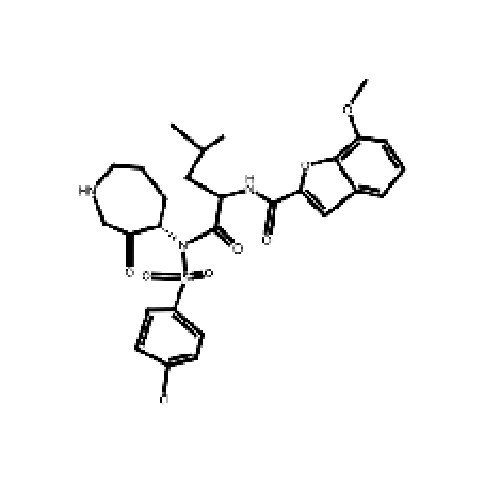 COc1cccc2cc(C(=O)NC(CC(C)C)C(=O)N([C@H]3CCCNCC3=O)S(=O)(=O)c3ccc(Cl)cc3)oc12